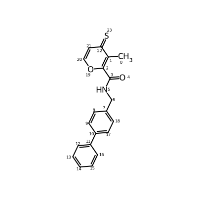 Cc1c(C(=O)NCc2ccc(-c3ccccc3)cc2)occc1=S